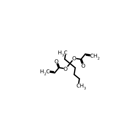 C=CC(=O)OC(CC)(CCCC)OC(=O)C=C